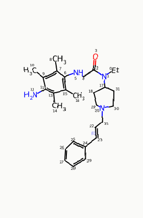 CCN(C(=O)CNc1c(C)c(C)c(N)c(C)c1C)C1CCN(C/C=C/c2ccccc2)CC1